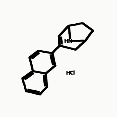 C1=C(c2ccc3ccccc3c2)CC2CCC1N2.Cl